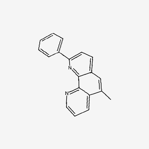 Cc1cc2ccc(-c3ccccc3)nc2c2ncccc12